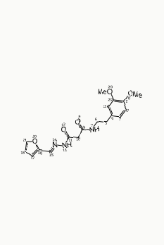 COc1ccc(CCNC(=O)CC(=O)N/N=C/c2ccco2)cc1OC